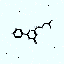 CC(C)CCNC1=CC(=O)CC(c2ccccc2)C1